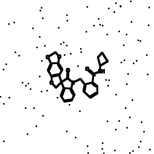 O=C(NC1CCC1)c1ccccc1CN1C(=O)C2(COc3cc4c(cc32)OCO4)c2ccccc21